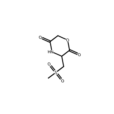 CS(=O)(=O)CC1NC(=O)COC1=O